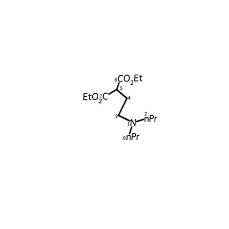 CCCN(CCC)CCC(C(=O)OCC)C(=O)OCC